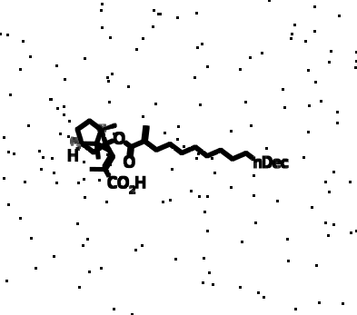 C=C(CCCCCCCCCCCCCCCCCC)C(=O)OC1(C=C(C)C(=O)O)C[C@H]2CC[C@@]1(C)C2(C)C